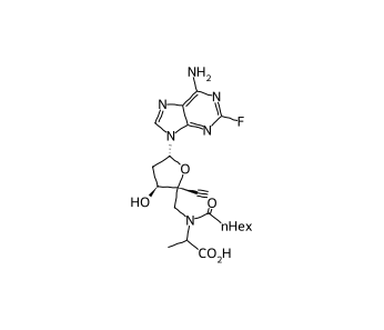 C#C[C@]1(CN(C(=O)CCCCCC)C(C)C(=O)O)O[C@@H](n2cnc3c(N)nc(F)nc32)C[C@@H]1O